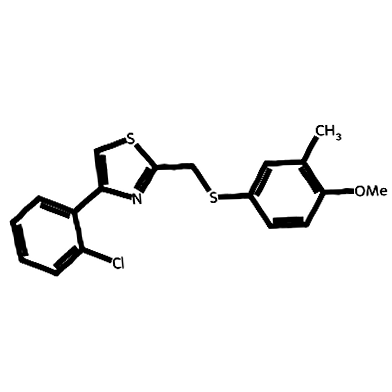 COc1ccc(SCc2nc(-c3ccccc3Cl)cs2)cc1C